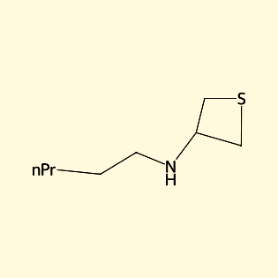 CCCCCNC1CSC1